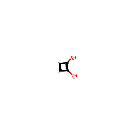 OC1=C(O)C=C1